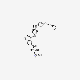 C/C(O)=C/C(=N)C(=O)Nc1ccc(Cl)c(C(=O)Nc2cnc(Nc3ccc(OCCN4CCCC4)cc3)nc2)c1